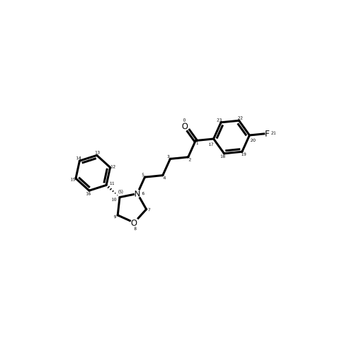 O=C(CCCCN1COC[C@@H]1c1ccccc1)c1ccc(F)cc1